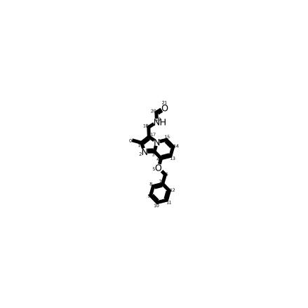 Cc1nc2c(OCc3ccccc3)cccn2c1CNC=O